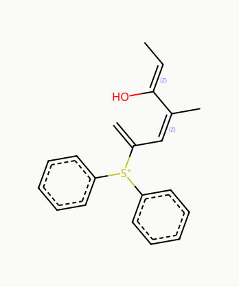 C=C(/C=C(C)\C(O)=C\C)[S+](c1ccccc1)c1ccccc1